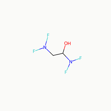 OC(CN(F)F)N(F)F